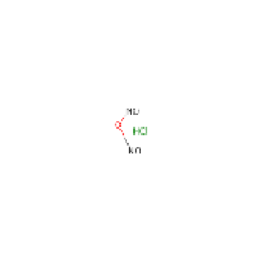 Cl.O=NON=O